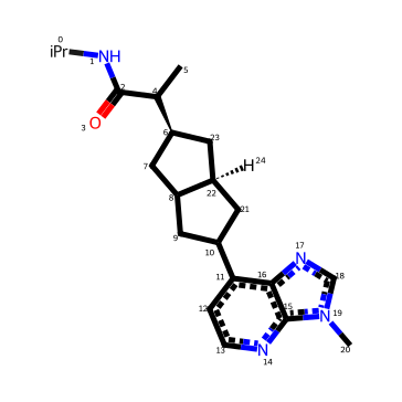 CC(C)NC(=O)C(C)[C@@H]1CC2CC(c3ccnc4c3ncn4C)C[C@@H]2C1